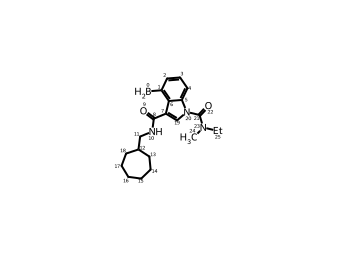 Bc1cccc2c1c(C(=O)NCC1CCCCCC1)cn2C(=O)N(C)CC